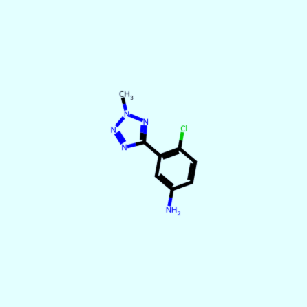 Cn1nnc(-c2cc(N)ccc2Cl)n1